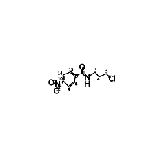 O=C(NCCCCl)c1ccc([N+](=O)[O-])cc1